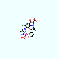 COc1c(N2CC3CCCN(P(=O)(O)Oc4ccccc4)C3C2)c(F)cc2c(=O)c(C(=O)O)cn(C3CC3)c12